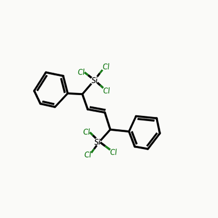 Cl[Si](Cl)(Cl)C(C=CC(c1ccccc1)[Si](Cl)(Cl)Cl)c1ccccc1